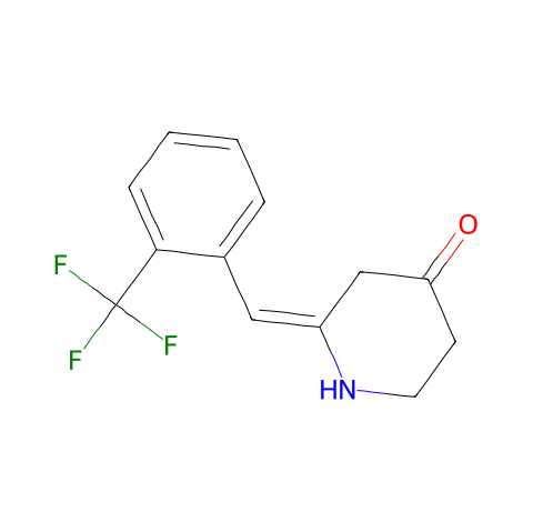 O=C1CCNC(=Cc2ccccc2C(F)(F)F)C1